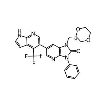 O=c1n(C[C@H]2COCCO2)c2cc(-c3cnc4[nH]ccc4c3C(F)(F)F)cnc2n1-c1ccccc1